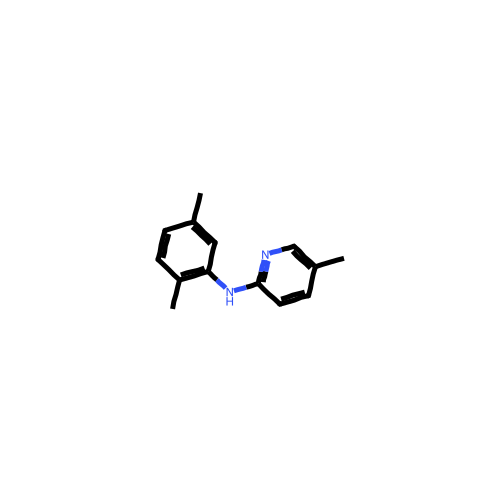 Cc1ccc(Nc2cc(C)ccc2C)nc1